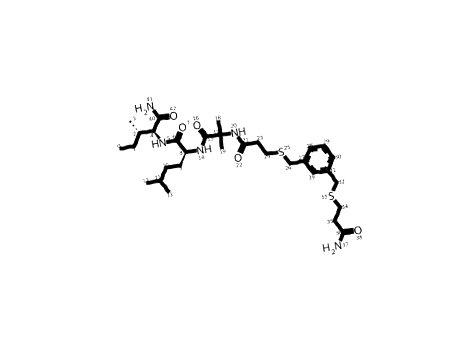 CC[C@H](C)[C@H](NC(=O)[C@H](CCC(C)C)NC(=O)C(C)(C)NC(=O)CCSCc1cccc(CSCCC(N)=O)c1)C(N)=O